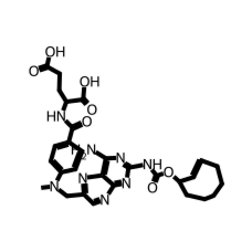 CN(Cc1cnc2nc(NC(=O)OC3/C=C/CCCCC3)nc(N)c2n1)c1ccc(C(=O)NC(CCC(=O)O)C(=O)O)cc1